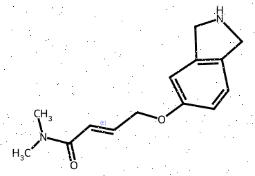 CN(C)C(=O)/C=C/COc1ccc2c(c1)CNC2